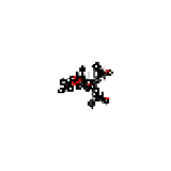 c1ccc(-c2cc(-c3ccccc3)nc(-c3ccc(-n4c5ccc(-c6nc(-c7ccccc7)nc(-c7ccccc7)n6)cc5c5cc(-c6nc(-c7ccccc7)nc(-c7ccccc7)n6)ccc54)c(-c4ccc(-c5ccc(N6c7ccccc7B7c8ccccc8N(c8ccccc8)c8cccc6c87)cc5)cc4)c3)n2)cc1